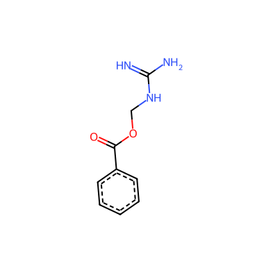 N=C(N)NCOC(=O)c1ccccc1